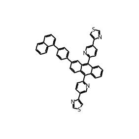 c1ccc2c(-c3ccc(-c4ccc5c(-c6ccc(-c7cscn7)cn6)c6ccccc6c(-c6ccc(-c7cscn7)cn6)c5c4)cc3)cccc2c1